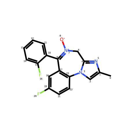 Cc1cn2c(n1)C[N+]([O-])=C(c1ccccc1F)c1cc(F)ccc1-2